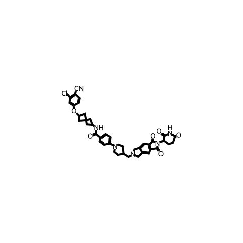 N#Cc1ccc(OC2CC3(CC(NC(=O)c4ccc(N5CCC(CN6Cc7cc8c(cc7C6)C(=O)N(C6CCC(=O)NC6=O)C8=O)CC5)cc4)C3)C2)cc1Cl